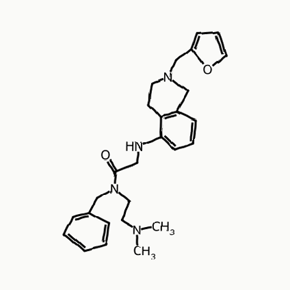 CN(C)CCN(Cc1ccccc1)C(=O)CNc1cccc2c1CCN(Cc1ccco1)C2